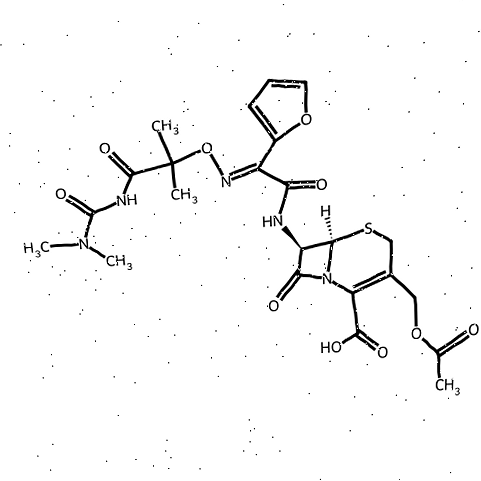 CC(=O)OCC1=C(C(=O)O)N2C(=O)[C@@H](NC(=O)C(=NOC(C)(C)C(=O)NC(=O)N(C)C)c3ccco3)[C@H]2SC1